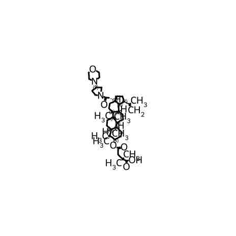 C=C(C)[C@@H]1CC[C@]2(CC(=O)N3CC[C@H](N4CCOCC4)C3)CC[C@]3(C)[C@H](CC[C@@H]4[C@@]5(C)CC[C@H](OC(=O)CC(C)(C)C(=O)O)C(C)(C)[C@@H]5CC[C@]43C)[C@@H]12